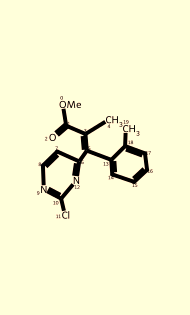 COC(=O)/C(C)=C(\c1ccnc(Cl)n1)c1ccccc1C